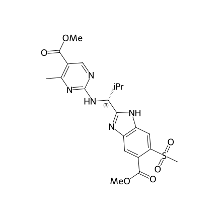 COC(=O)c1cc2nc([C@H](Nc3ncc(C(=O)OC)c(C)n3)C(C)C)[nH]c2cc1S(C)(=O)=O